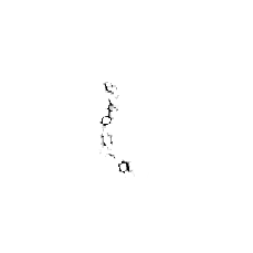 O=Cc1ccc(OCC(=O)N2CCN(c3ccc(-c4cc(CNc5ccon5)on4)cc3)CC2F)cc1